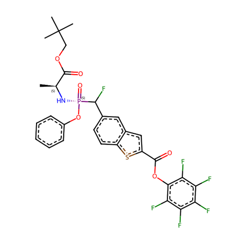 C[C@H](N[P@@](=O)(Oc1ccccc1)C(F)c1ccc2sc(C(=O)Oc3c(F)c(F)c(F)c(F)c3F)cc2c1)C(=O)OCC(C)(C)C